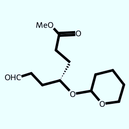 COC(=O)CC[C@@H](CCC=O)OC1CCCCO1